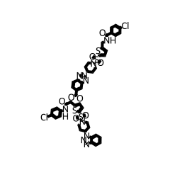 O=C(NCc1ccc(S(=O)(=O)N2CCC(n3nc4ccc(C(=O)OC(C(=O)Nc5ccc(Cl)cc5)c5ccc(S(=O)(=O)N6CCC(n7nnc8ccccc87)CC6)s5)cc4n3)CC2)s1)c1ccc(Cl)cc1